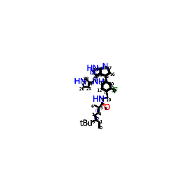 C=C/C(=C\C=C(/C)C(=O)NCc1ccc(-c2ccnc3[nH]nc(N[C@H]4CCNC4)c23)cc1F)C(C)(C)C